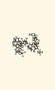 CNCc1cn(S(=O)(=O)c2cnn(C)c2C)c(-c2cccnc2F)c1F.Cc1c(S(=O)(=O)n2cc(CN(C)C(=O)OC(C)(C)C)c(F)c2-c2cccnc2F)cnn1C.Cl